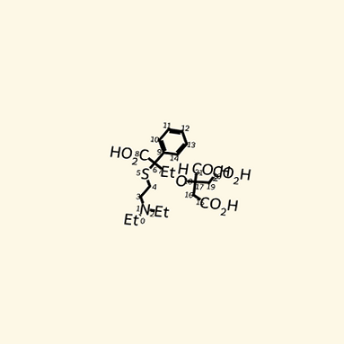 CCN(CC)CCSC(CC)(C(=O)O)c1ccccc1.O=C(O)CC(O)(CC(=O)O)C(=O)O